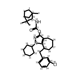 CC12CCC(C1)C(C)(C)[C@H]2NC(=O)Oc1nn(C2CCCCC2)c2c1CCCCC2Cc1cccc(Cl)c1